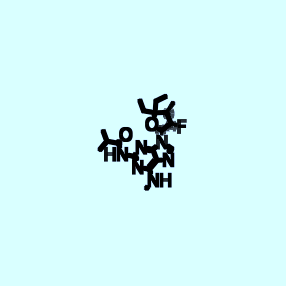 CCC1(CC)O[C@@H](n2cnc3c(NC)nc(NC(=O)C(C)C)nc32)[C@H](F)[C@@H]1C